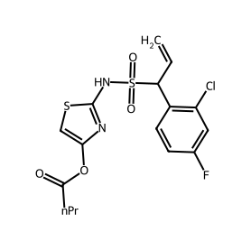 C=CC(c1ccc(F)cc1Cl)S(=O)(=O)Nc1nc(OC(=O)CCC)cs1